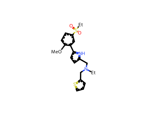 CCN(Cc1ccc(-c2cc(S(=O)(=O)CC)ccc2OC)[nH]1)Cc1cccs1